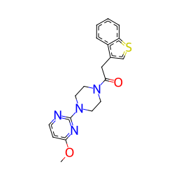 COc1ccnc(N2CCN(C(=O)Cc3csc4ccccc34)CC2)n1